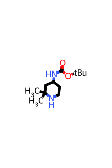 CC1(C)CC(NC(=O)OC(C)(C)C)CCN1